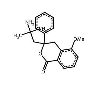 COc1cccc2c1CC(CC(C)(C)N)(c1ccccc1)OC2=O